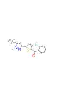 Cn1nc(-c2ccc(C(=O)c3ccccc3F)s2)cc1C(F)(F)F